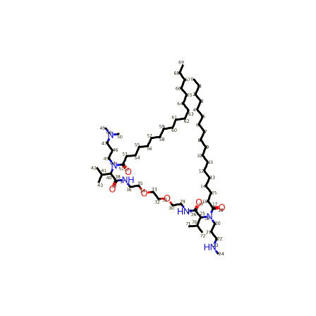 CCCCCCCCCCCCCCCCCC(=O)N(CCCNC)C(C(=O)NCCOCCOCCNC(=O)C(C(C)C)N(CCCN(C)C)C(=O)CCCCCCCCCCCCCCCCC)C(C)C